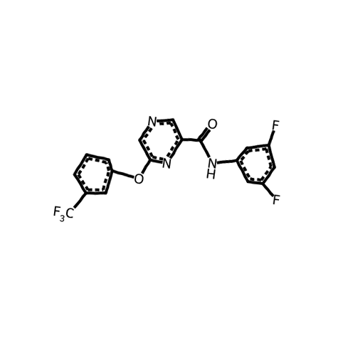 O=C(Nc1cc(F)cc(F)c1)c1cncc(Oc2cccc(C(F)(F)F)c2)n1